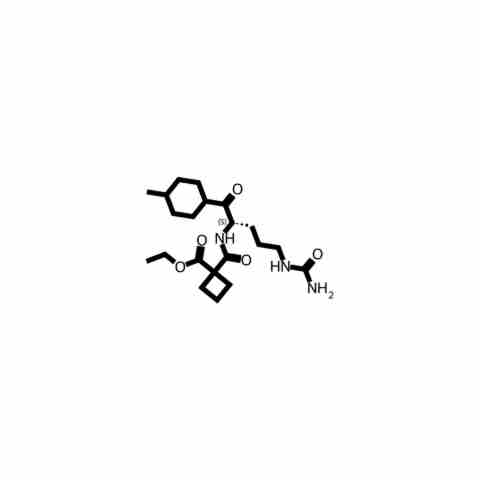 CCOC(=O)C1(C(=O)N[C@@H](CCCNC(N)=O)C(=O)C2CCC(C)CC2)CCC1